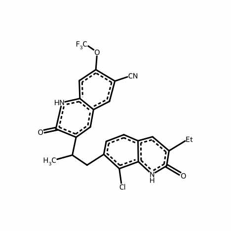 CCc1cc2ccc(CC(C)c3cc4cc(C#N)c(OC(F)(F)F)cc4[nH]c3=O)c(Cl)c2[nH]c1=O